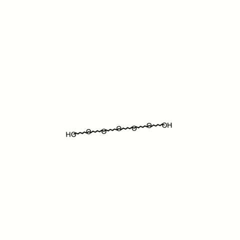 OCCCCCCOCCCCCCOCCCCCCOCCCCCCOCCCCCCOCCCCCCO